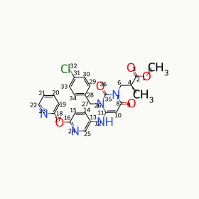 COC(=O)[C@@H](C)Cn1c(=O)cc(Nc2ccc(Oc3ccccn3)nc2)n(Cc2ccc(Cl)cc2)c1=O